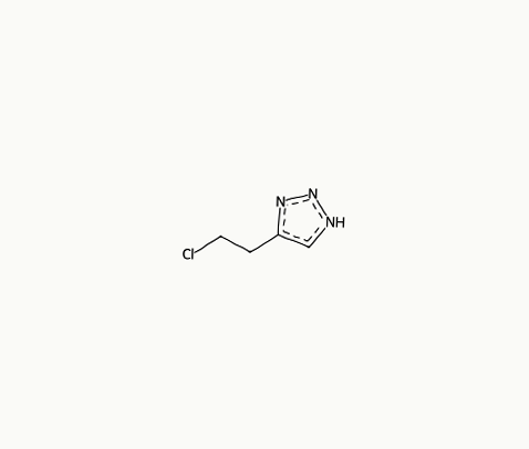 ClCCc1c[nH]nn1